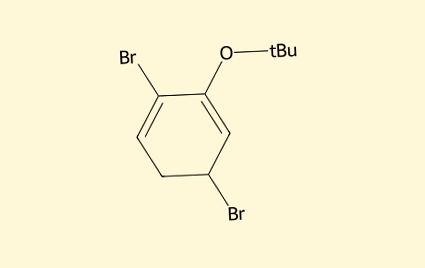 CC(C)(C)OC1=CC(Br)CC=C1Br